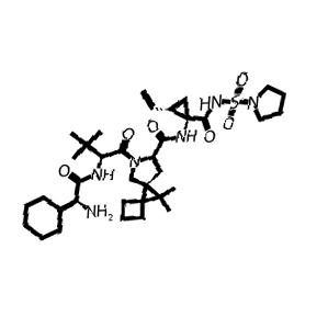 C=C[C@@H]1C[C@]1(NC(=O)C1C[C@@]2(CN1C(=O)[C@@H](NC(=O)[C@@H](N)C1CCCCC1)C(C)(C)C)C(C)(C)C21CCC1)C(=O)NS(=O)(=O)N1CCCC1